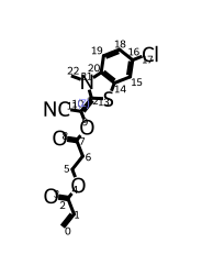 C=CC(=O)OCCC(=O)O/C(C#N)=C1\Sc2cc(Cl)ccc2N1C